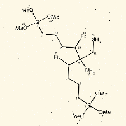 CCC(CCC[Si](OC)(OC)OC)C(N)(CN)C(CC)CCC[Si](OC)(OC)OC